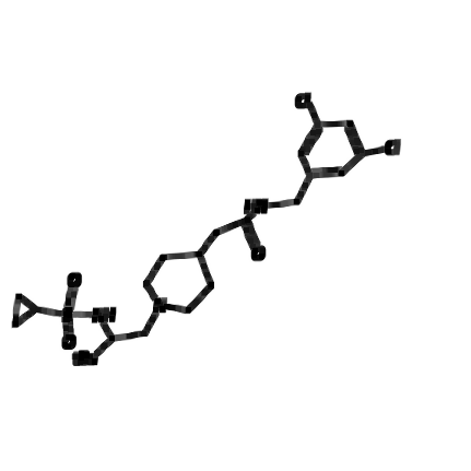 CC(C)(C)C(CN1CCC(CC(=O)NCc2cc(Cl)cc(Cl)c2)CC1)NS(=O)(=O)C1CC1